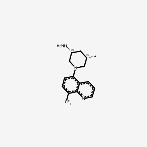 CC(=O)N[C@@H]1C[C@H](C)CN(c2ccc(C(F)(F)F)c3ncccc23)C1